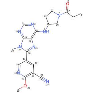 CCC(=O)N1CCC(Nc2ncnc3c2nc(-c2cnc(OC)c(C#N)c2)n3C)C1